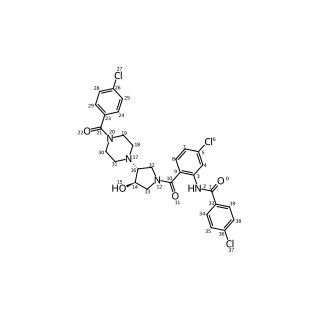 O=C(Nc1cc(Cl)ccc1C(=O)N1C[C@@H](O)[C@H](N2CCN(C(=O)c3ccc(Cl)cc3)CC2)C1)c1ccc(Cl)cc1